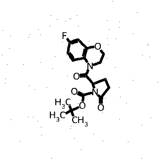 CC(C)(C)OC(=O)N1C(=O)CCC1C(=O)N1CCOc2cc(F)ccc21